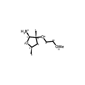 B[C@@H]1O[C@H](C)C[C@@]1(C)OCCOC